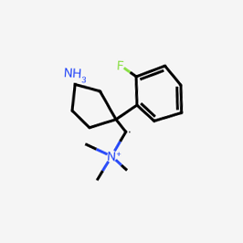 C[N+](C)(C)[CH]C1(c2ccccc2F)CCCC1.N